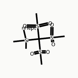 CCCCCCC[Si](C)(C)C(S(C)(=O)=O)(S(C)(=O)=O)S(C)(=O)=O